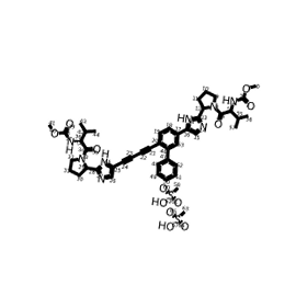 COC(=O)NC(C(=O)N1CCCC1c1ncc(-c2ccc(C#CC#Cc3cnc(C4CCCN4C(=O)[C@@H](NC(=O)OC)C(C)C)[nH]3)c(-c3ccccc3)c2)[nH]1)C(C)C.CS(=O)(=O)O.CS(=O)(=O)O